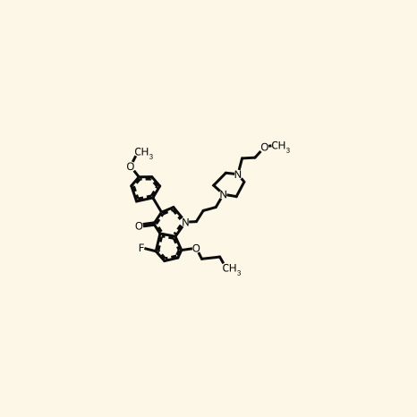 CCCOc1ccc(F)c2c(=O)c(-c3ccc(OC)cc3)cn(CCCN3CCN(CCOC)CC3)c12